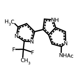 CC(=O)Nc1cc2c(-c3cc(C)nc(C(C)(F)F)n3)c[nH]c2cn1